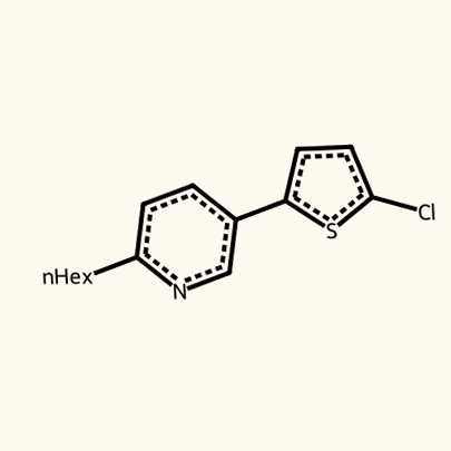 CCCCCCc1ccc(-c2ccc(Cl)s2)cn1